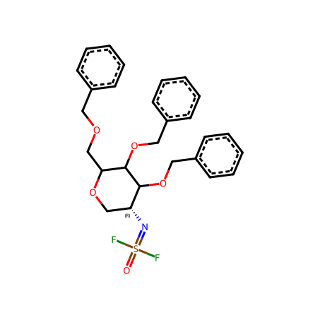 O=S(F)(F)=N[C@@H]1COC(COCc2ccccc2)C(OCc2ccccc2)C1OCc1ccccc1